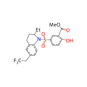 CCC1CCc2cc(CC(F)(F)F)ccc2N1S(=O)(=O)c1ccc(O)c(C(=O)OC)c1